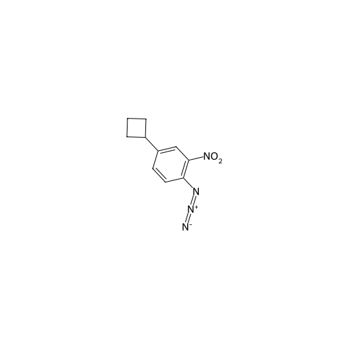 [N-]=[N+]=Nc1ccc(C2CCC2)cc1[N+](=O)[O-]